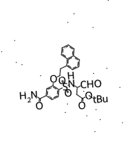 CC(C)(C)OC(=O)CC(C=O)NS(=O)(=O)c1ccc(C(N)=O)cc1OCCc1cccc2ccccc12